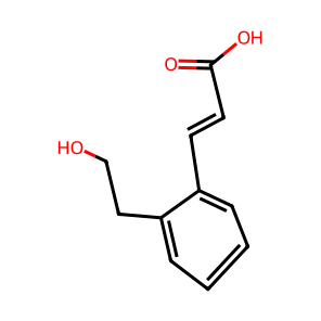 O=C(O)/C=C/c1ccccc1CCO